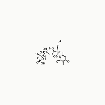 Cc1cc(=O)[nH]c(=O)n1[C@@H]1OC(COP(=O)(O)OP(=O)(O)OP(=O)(O)O)C(O)[C@]1(F)C#CCF